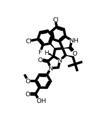 COc1cc(N2CN3[C@H](C2=O)[C@@H](c2cccc(Cl)c2F)[C@@]2(C(=O)Nc4cc(Cl)ccc42)[C@H]3CC(C)(C)C)ccc1C(=O)O